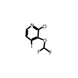 FC(F)Oc1c(I)ccnc1Cl